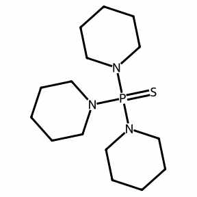 S=P(N1CCCCC1)(N1CCCCC1)N1CCCCC1